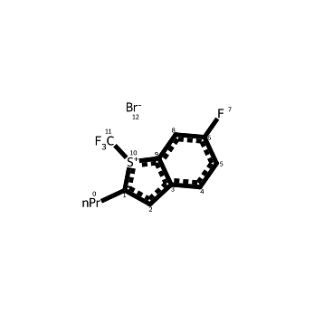 CCCc1cc2ccc(F)cc2[s+]1C(F)(F)F.[Br-]